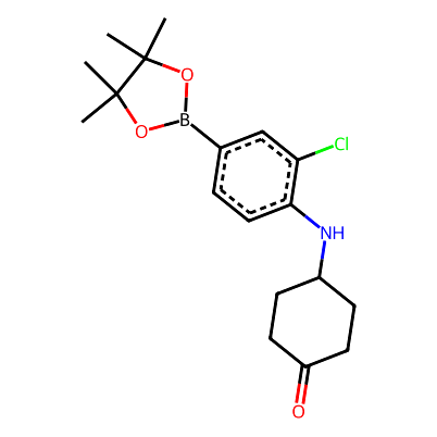 CC1(C)OB(c2ccc(NC3CCC(=O)CC3)c(Cl)c2)OC1(C)C